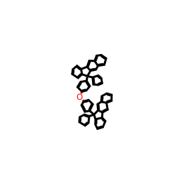 c1ccc(C2(c3ccc(Oc4ccc(C5(c6ccccc6)c6ccccc6-c6cc7ccccc7cc65)cc4)cc3)c3ccccc3-c3cc4ccccc4cc32)cc1